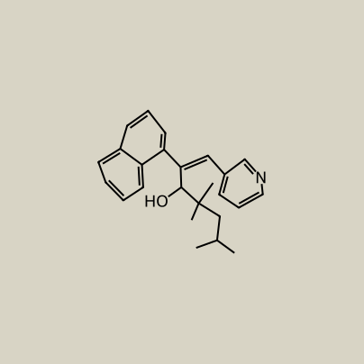 CC(C)CC(C)(C)C(O)/C(=C\c1cccnc1)c1cccc2ccccc12